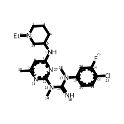 CCN1CCCC(Nc2cc(C)nc(N(C)C(=N)N(C)c3ccc(Cl)c(F)c3)n2)C1